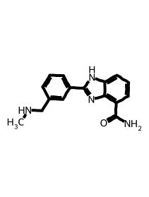 CNCc1cccc(-c2nc3c(C(N)=O)cccc3[nH]2)c1